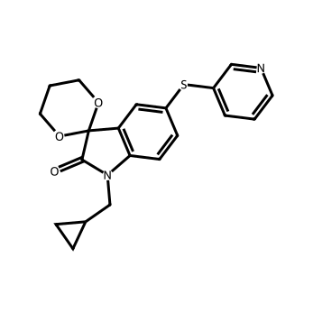 O=C1N(CC2CC2)c2ccc(Sc3cccnc3)cc2C12OCCCO2